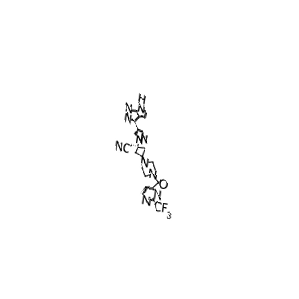 N#CC[C@]1(n2cc(-c3ncnc4[nH]ccc34)cn2)C[C@@H](N2CCN(C(=O)c3ccnc(C(F)(F)F)n3)CC2)C1